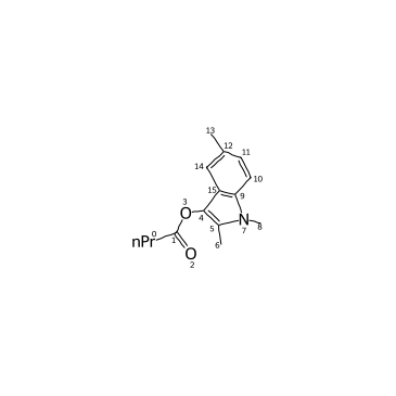 CCCC(=O)Oc1c(C)n(C)c2ccc(C)cc12